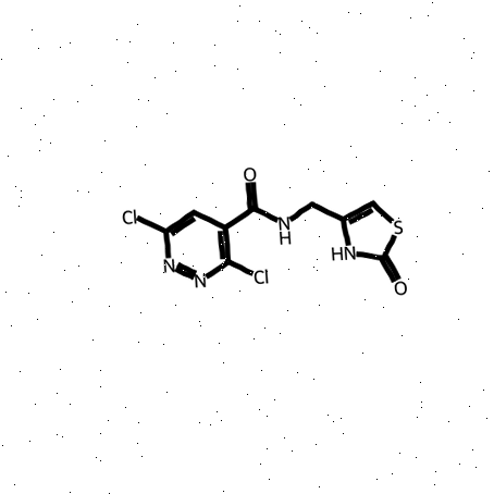 O=C(NCc1csc(=O)[nH]1)c1cc(Cl)nnc1Cl